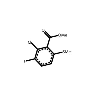 COC(=O)c1c(SC)ccc(F)c1Cl